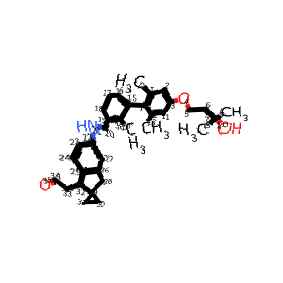 Cc1cc(OCCC(C)(C)O)cc(C)c1-c1cccc(CNc2ccc3c(c2)CC2(CC2)C3CC=O)c1C